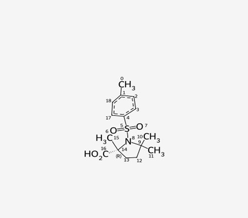 Cc1ccc(S(=O)(=O)N2C(C)(C)CC[C@]2(C)C(=O)O)cc1